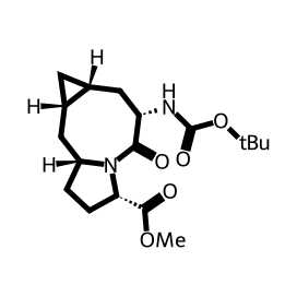 COC(=O)[C@@H]1CC[C@@H]2C[C@@H]3C[C@@H]3C[C@H](NC(=O)OC(C)(C)C)C(=O)N21